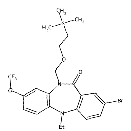 CCN1c2ccc(Br)cc2C(=O)N(COCCS(C)(C)C)c2cc(OC(F)(F)F)ccc21